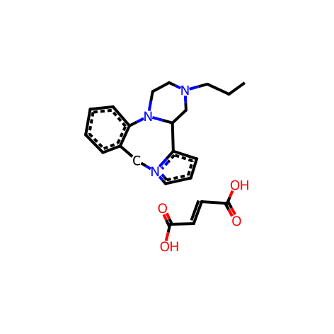 CCCN1CCN2c3ccccc3Cn3cccc3C2C1.O=C(O)C=CC(=O)O